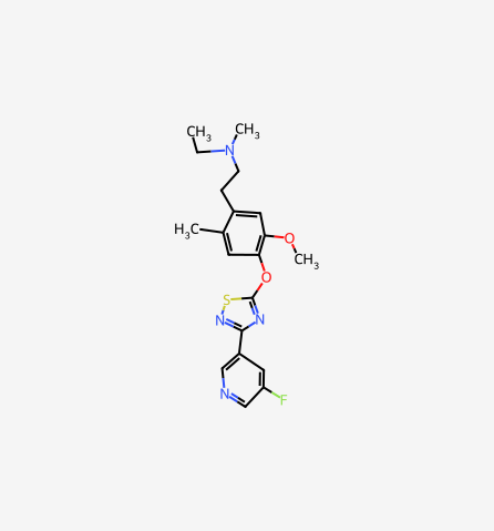 CCN(C)CCc1cc(OC)c(Oc2nc(-c3cncc(F)c3)ns2)cc1C